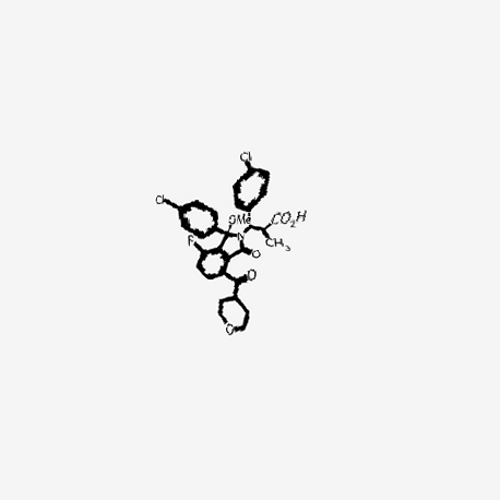 CO[C@]1(c2ccc(Cl)cc2)c2c(F)ccc(C(=O)C3CCOCC3)c2C(=O)N1[C@H](c1ccc(Cl)cc1)[C@H](C)C(=O)O